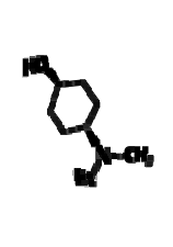 CCN(C)[C@H]1CC[C@@H](O)CC1